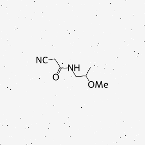 COC(C)CNC(=O)CC#N